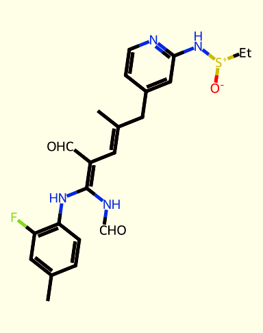 CC[S+]([O-])Nc1cc(C/C(C)=C/C(C=O)=C(\NC=O)Nc2ccc(C)cc2F)ccn1